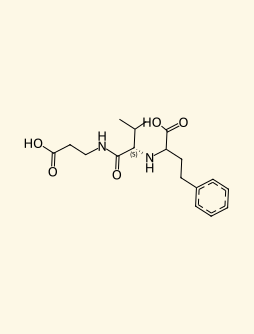 CC(C)[C@H](NC(CCc1ccccc1)C(=O)O)C(=O)NCCC(=O)O